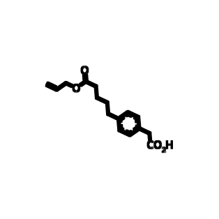 C=CCOC(=O)CCCCc1ccc(CC(=O)O)cc1